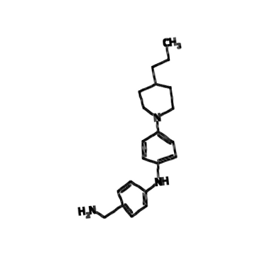 CCCC1CCN(c2ccc(Nc3ccc(CN)cc3)cc2)CC1